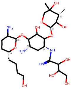 C[C@@H]1C(O)[C@@H](OC2C(O)C(O[C@H]3O[C@H](CCCCO)CCC3N)[C@@H](N)C[C@H]2NC(=N)C(O)C(O)CO)OCC1(C)O